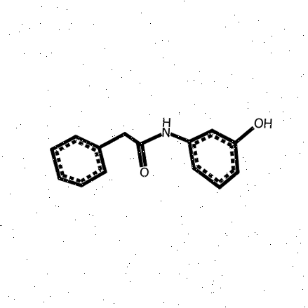 O=C(Cc1ccccc1)Nc1cccc(O)c1